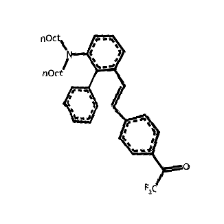 CCCCCCCCN(CCCCCCCC)c1cccc(C=Cc2ccc(C(=O)C(F)(F)F)cc2)c1-c1ccccc1